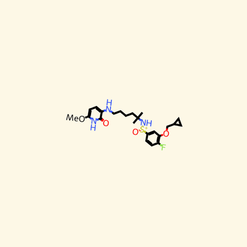 COc1ccc(NCCCCC(C)(C)N[S+]([O-])c2ccc(F)c(OCC3CC3)c2)c(=O)[nH]1